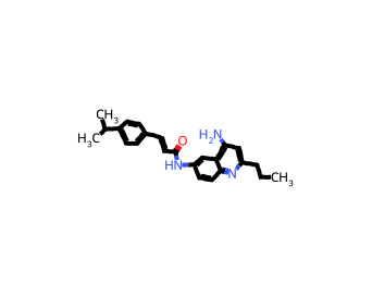 CCCc1cc(N)c2cc(NC(=O)C=Cc3ccc(C(C)C)cc3)ccc2n1